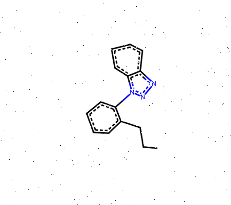 CCCc1ccccc1-n1nnc2ccccc21